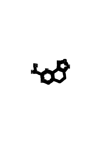 CCNc1ncc2c(n1)-c1nonc1CC2